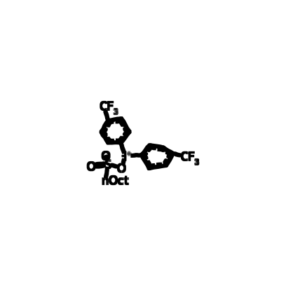 CCCCCCCCS(=O)(=O)O[I+](c1ccc(C(F)(F)F)cc1)c1ccc(C(F)(F)F)cc1